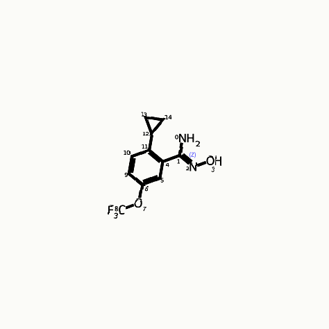 N/C(=N\O)c1cc(OC(F)(F)F)ccc1C1CC1